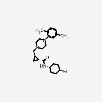 CC[C@H]1CC[C@H](NC(=O)[C@@H]2C[C@H]2CN2CCN(c3cc(C)ccc3C)CC2)CC1